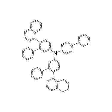 C1=Cc2c(cccc2-c2ccc(N(c3ccc(-c4ccccc4)cc3)c3ccc(-c4cccc5ccccc45)c(-c4ccccc4)c3)cc2-c2ccccc2)CC1